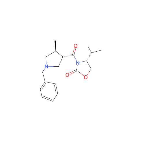 CC(C)[C@@H]1COC(=O)N1C(=O)[C@@H]1CN(Cc2ccccc2)C[C@H]1C